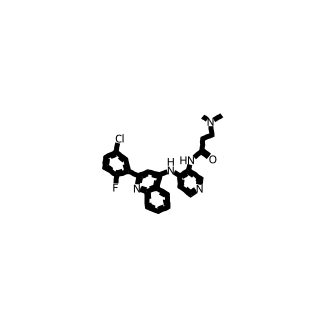 CN(C)CCC(=O)Nc1cnccc1Nc1cc(-c2cc(Cl)ccc2F)nc2ccccc12